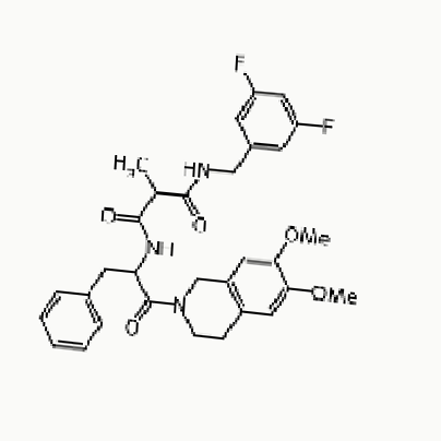 COc1cc2c(cc1OC)CN(C(=O)C(Cc1ccccc1)NC(=O)C(C)C(=O)NCc1cc(F)cc(F)c1)CC2